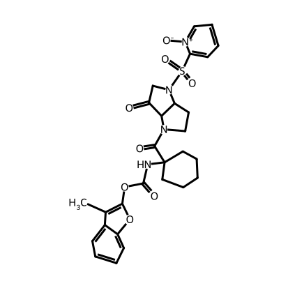 Cc1c(OC(=O)NC2(C(=O)N3CCC4C3C(=O)CN4S(=O)(=O)c3cccc[n+]3[O-])CCCCC2)oc2ccccc12